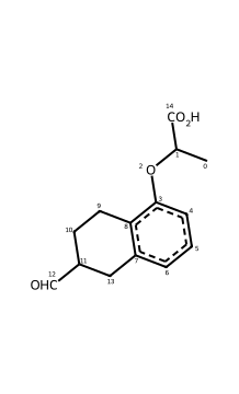 CC(Oc1cccc2c1CCC(C=O)C2)C(=O)O